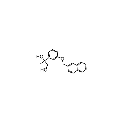 CC(O)(CO)c1cccc(OCc2ccc3ccccc3c2)c1